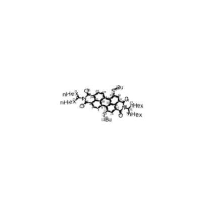 CCCCCCC(CCCCCC)N1C(=O)c2ccc3c4c(SC(C)CC)cc5c6c(cc(SC(C)CC)c(c7ccc(c2c37)C1=O)c64)C(=O)N(C(CCCCCC)CCCCCC)C5=O